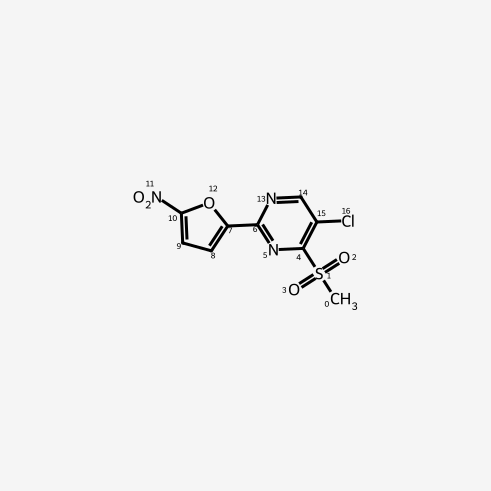 CS(=O)(=O)c1nc(-c2ccc([N+](=O)[O-])o2)ncc1Cl